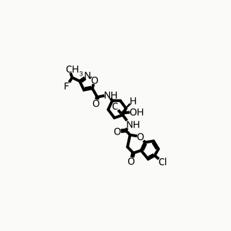 CC(F)c1cc(C(=O)NC23CCC(NC(=O)C4CC(=O)c5cc(Cl)ccc5O4)(CC2)[C@@H](O)C3)on1